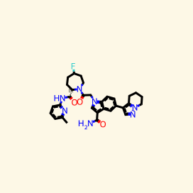 Cc1cccc(NC(=O)[C@@H]2CCC(F)CCN2C(=O)Cn2cc(C(N)=O)c3cc(-c4cnn5c4CCCC5)ccc32)n1